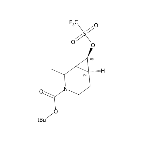 CC1C2[C@@H]3C(CN1C(=O)OC(C)(C)C)[C@@]23OS(=O)(=O)C(F)(F)F